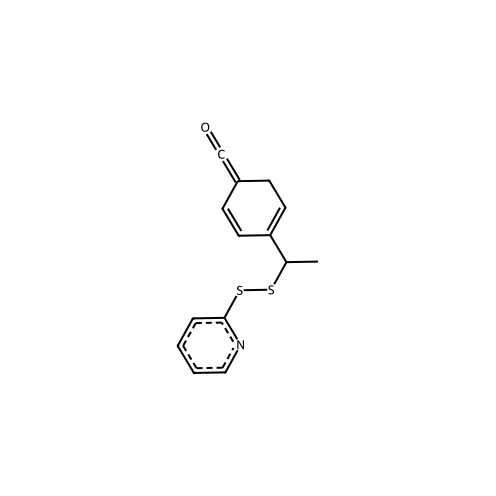 CC(SSc1ccccn1)C1=CCC(=C=O)C=C1